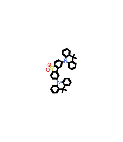 CC1(C)c2ccccc2N(c2ccc3c(c2)-c2cc(N4c5ccccc5C(C)(C)c5ccccc54)ccc2S3(=O)=O)c2ccccc21